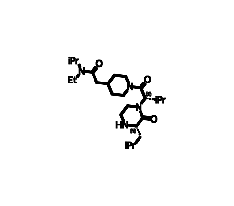 CCN(C(=O)CC1CCN(C(=O)[C@H](C(C)C)N2CCN[C@@H](CC(C)C)C2=O)CC1)C(C)C